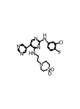 O=S1(=O)CCN(CCNc2nc(Nc3ccc(F)c(Cl)c3)ncc2-c2cncnc2)CC1